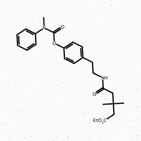 CCOC(=O)CC(C)(C)CC(=O)NCCc1ccc(OC(=O)N(C)c2ccccc2)cc1